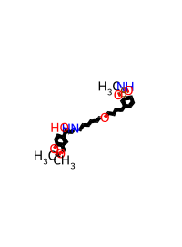 CNS(=O)(=O)c1cccc(CCCCOCCCCCCNC[C@@H](O)c2ccc3c(c2)COC(C)(C)O3)c1